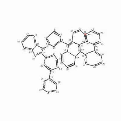 C1=CC2C(c3cccc(-n4c(-c5cccc(-c6ccccc6)c5)nc5ccccc54)c3)=c3ccccc3=C(c3ccccc3-c3ccccc3)C2C=C1